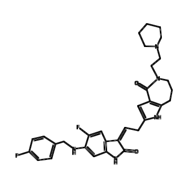 O=C1Nc2cc(NCc3ccc(F)cc3)c(F)cc2C1=CCc1cc2c([nH]1)CCCN(CCN1CCCCC1)C2=O